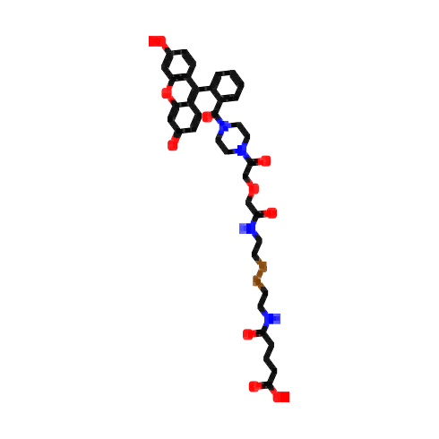 O=C(O)CCCC(=O)NCCSSCCNC(=O)COCC(=O)N1CCN(C(=O)c2ccccc2-c2c3ccc(=O)cc-3oc3cc(O)ccc23)CC1